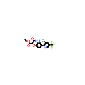 CCOC(=O)C1Oc2ccc(-c3ncc(C(F)(F)F)cc3Cl)cc2NC1=O